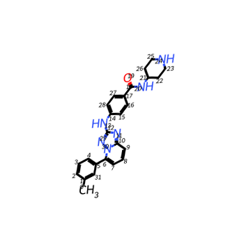 Cc1cccc(-c2cccc3nc(Nc4ccc(C(=O)NC5CCNCC5)cc4)nn23)c1